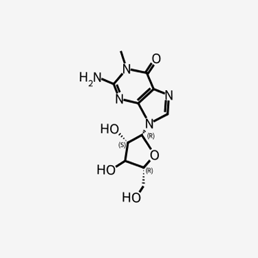 Cn1c(N)nc2c(ncn2[C@@H]2O[C@H](CO)C(O)[C@@H]2O)c1=O